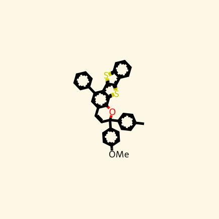 COc1ccc(C2(c3ccc(C)cc3)C=Cc3cc(-c4ccccc4)c4c(sc5c6ccccc6sc54)c3O2)cc1